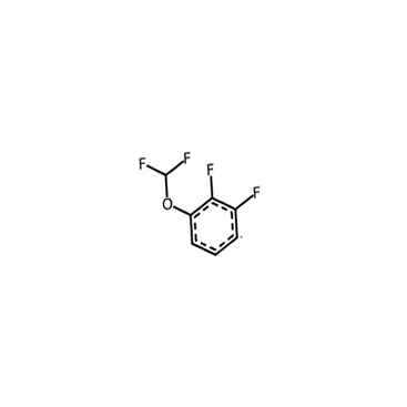 Fc1[c]ccc(OC(F)F)c1F